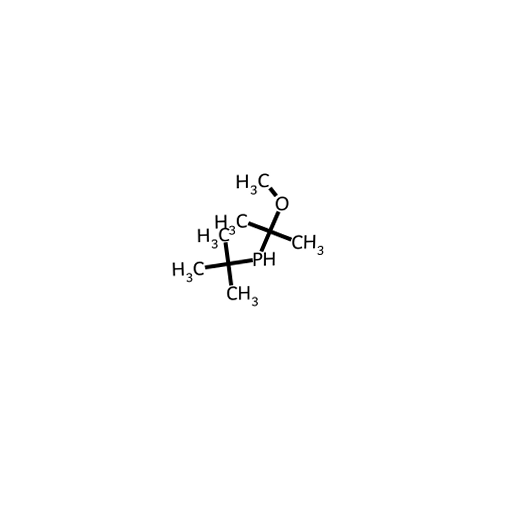 COC(C)(C)PC(C)(C)C